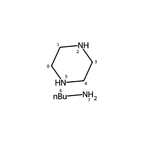 C1CNCCN1.CCCCN